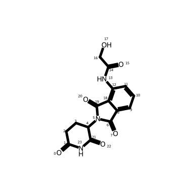 O=C1CCC(N2C(=O)c3cccc(NC(=O)CO)c3C2=O)C(=O)N1